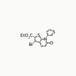 CCOC(=O)c1sc2c(ccc(=O)n2-c2ccsc2)c1Br